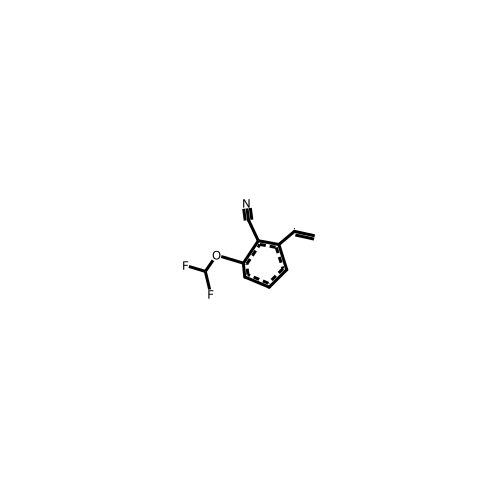 C=[C]c1cccc(OC(F)F)c1C#N